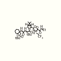 CCNC(=O)C(=O)[C@H](CCC(F)(F)F)NC(=O)[C@@H]1[C@@H]2[C@H](CN1C(=O)[C@@H](NC(=O)NC1(CS(=O)(=O)C(C)(C)C)CCCCC1)C(C)(C)C)C2(C)C